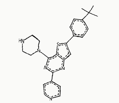 CC(C)(C)c1ccc(-c2cc3nc(-c4ccncc4)nc(N4CCNCC4)c3s2)cc1